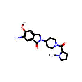 CC(C)Oc1cc2c(cc1N)C(=O)N(C1CCN(C(=O)C3CCCN3C)CC1)C2